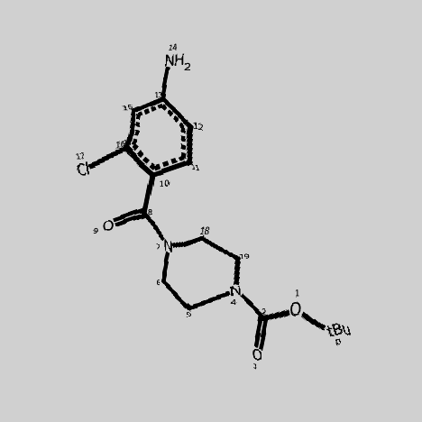 CC(C)(C)OC(=O)N1CCN(C(=O)c2ccc(N)cc2Cl)CC1